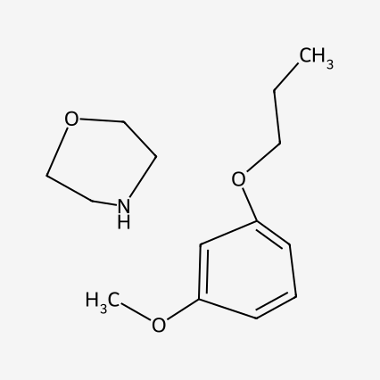 C1COCCN1.CCCOc1cccc(OC)c1